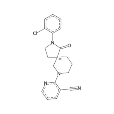 N#Cc1cccnc1N1CCC[C@@]2(CCN(c3ccccc3Cl)C2=O)C1